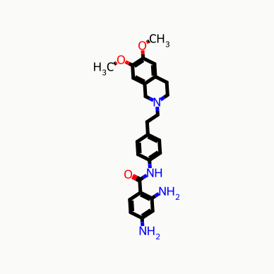 COc1cc2c(cc1OC)CN(CCc1ccc(NC(=O)c3ccc(N)cc3N)cc1)CC2